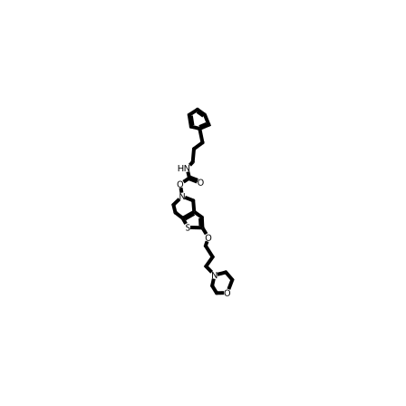 O=C(NCCCc1ccccc1)ON1CCc2sc(OCCCN3CCOCC3)cc2C1